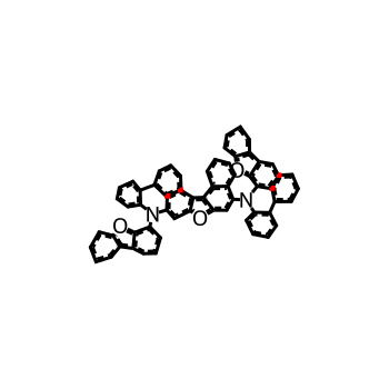 c1ccc(-c2ccccc2N(c2ccc3c(c2)oc2cc(N(c4ccccc4-c4ccccc4)c4cccc5c4oc4ccccc45)c4ccccc4c23)c2cccc3c2oc2ccccc23)cc1